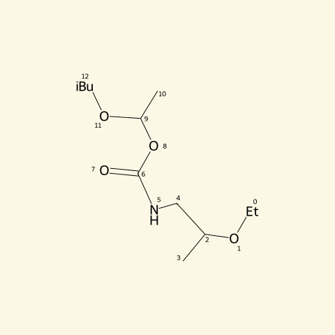 CCOC(C)CNC(=O)OC(C)OC(C)CC